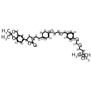 CC1(C)OCc2cc(C3CN(CCC4=CC=C(OCCOCc5ccc(OCOCC[Si](C)(C)C)cc5)CC4)C(=O)O3)ccc2O1